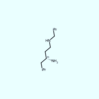 CC(C)CNCC[C@H](N)CC(C)C